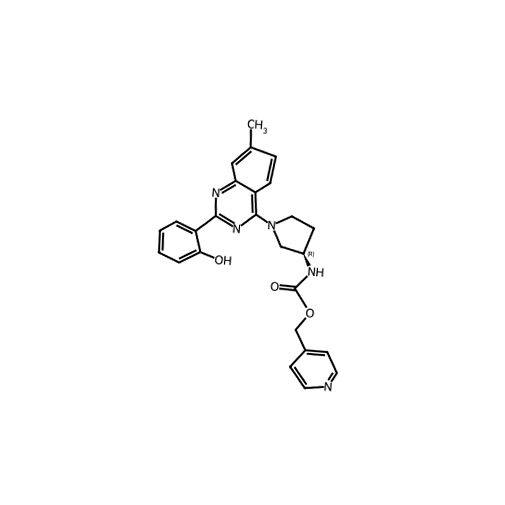 Cc1ccc2c(N3CC[C@@H](NC(=O)OCc4ccncc4)C3)nc(-c3ccccc3O)nc2c1